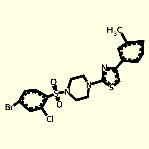 Cc1cccc(-c2csc(N3CCN(S(=O)(=O)c4ccc(Br)cc4Cl)CC3)n2)c1